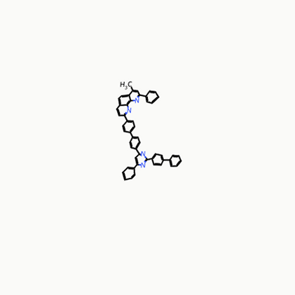 Cc1cc(-c2ccccc2)nc2c1ccc1ccc(-c3ccc(-c4ccc(-c5cc(-c6ccccc6)nc(-c6ccc(-c7ccccc7)cc6)n5)cc4)cc3)nc12